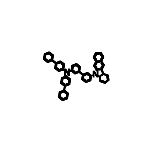 C1=CC2c3cc4ccccc4cc3N(c3cccc(-c4cccc(N(c5ccc(-c6ccccc6)cc5)c5ccc(-c6ccccc6)cc5)c4)c3)C2C=C1